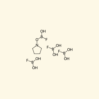 OB(F)ON1CCCC1.OB(O)F.OB(O)F.OB(O)F